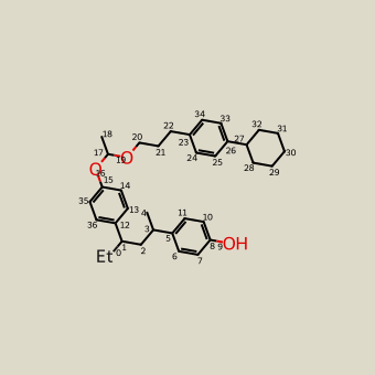 CCC(CC(C)c1ccc(O)cc1)c1ccc(OC(C)OCCCc2ccc(C3CCCCC3)cc2)cc1